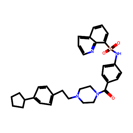 O=C(c1ccc(NS(=O)(=O)c2cccc3cccnc23)cc1)N1CCN(CCc2ccc(C3CCCC3)cc2)CC1